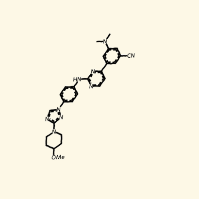 COC1CCN(c2ncn(-c3ccc(Nc4nccc(-c5cc(C#N)cc(N(C)C)c5)n4)cc3)n2)CC1